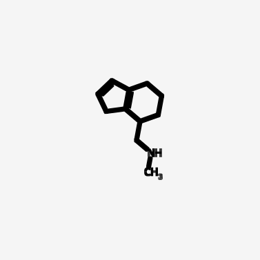 CNCC1CCCC2=C1CC=C2